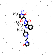 COc1cc(C)[nH]c(=O)c1CNC(=O)c1c(C)n([C@H](C)C2CCN(CCN3CCCC3=O)CC2)c2ccccc12